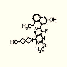 CCc1cccc2cc(O)cc(-c3ncc4c(N5CC6(CC(O)C6)C5)nc(OC)nc4c3F)c12